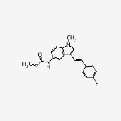 C=CC(=O)Nc1ccc2c(c1)c(C=Cc1ccc(F)cc1)cn2C